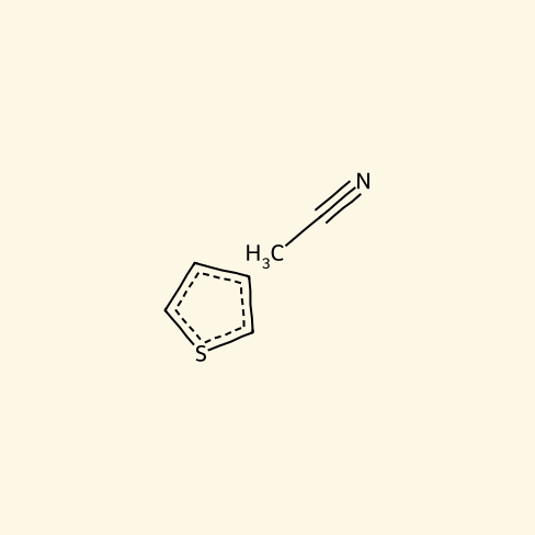 CC#N.c1ccsc1